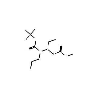 CCCN(C(=O)OC(C)(C)C)[C@@H](CC)CC(=O)OC